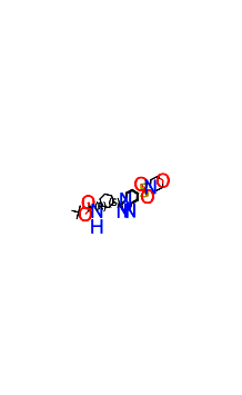 CC(C)(C)OC(=O)N[C@@H]1CCC[C@H](c2nnc3cc(S(=O)(=O)N4CCOCC4)ccn23)C1